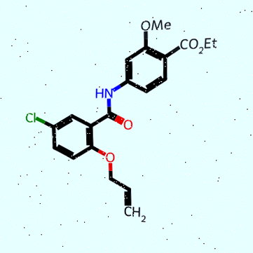 C=CCOc1ccc(Cl)cc1C(=O)Nc1ccc(C(=O)OCC)c(OC)c1